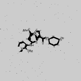 C=N/C(OC)=C(\C=C/C)Nc1cc(NC)n2ncc(C(=O)NC3CCC[C@H](O)C3)c2n1